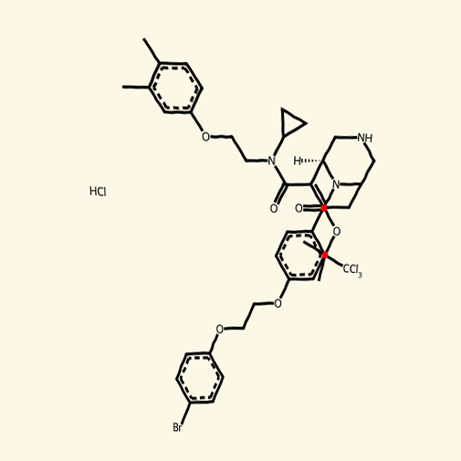 Cc1ccc(OCCN(C(=O)C2=C(c3ccc(OCCOc4ccc(Br)cc4)cc3)CC3CNC[C@H]2N3C(=O)OC(C)(C)C(Cl)(Cl)Cl)C2CC2)cc1C.Cl